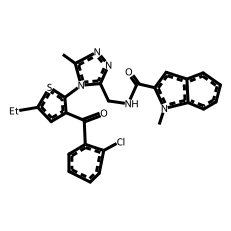 CCc1cc(C(=O)c2ccccc2Cl)c(-n2c(C)nnc2CNC(=O)c2cc3ccccc3n2C)s1